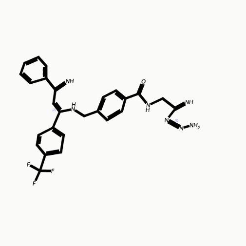 N=C(CNC(=O)c1ccc(CN/C(=C\C(=N)c2ccccc2)c2ccc(C(F)(F)F)cc2)cc1)/N=N\N